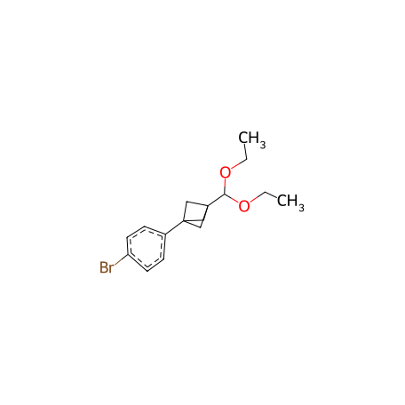 CCOC(OCC)C12CC(c3ccc(Br)cc3)(C1)C2